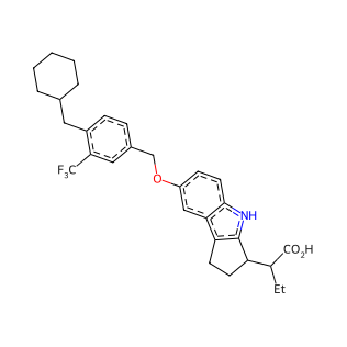 CCC(C(=O)O)C1CCc2c1[nH]c1ccc(OCc3ccc(CC4CCCCC4)c(C(F)(F)F)c3)cc21